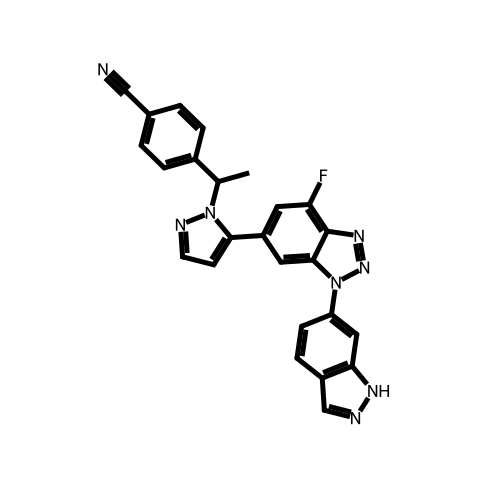 CC(c1ccc(C#N)cc1)n1nccc1-c1cc(F)c2nnn(-c3ccc4cn[nH]c4c3)c2c1